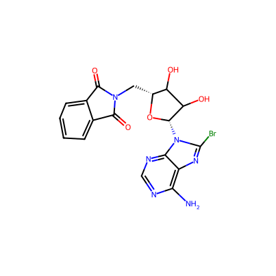 Nc1ncnc2c1nc(Br)n2[C@@H]1O[C@H](CN2C(=O)c3ccccc3C2=O)C(O)C1O